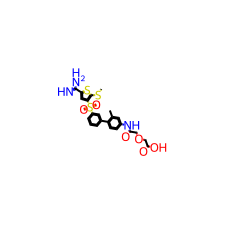 CSc1sc(C(=N)N)cc1S(=O)(=O)c1cccc(-c2ccc(NC(=O)COCC(=O)O)cc2C)c1